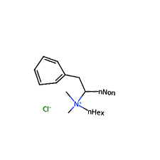 CCCCCCCCCC(Cc1ccccc1)[N+](C)(C)CCCCCC.[Cl-]